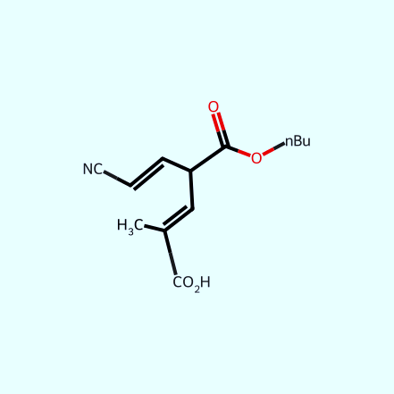 CCCCOC(=O)C(C=CC#N)C=C(C)C(=O)O